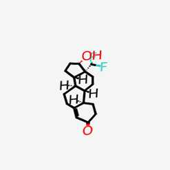 O=C1C=C2CC[C@@H]3[C@H](CC[C@]4(C(F)F)[C@@H](O)CC[C@@H]34)[C@H]2CC1